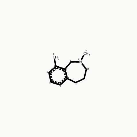 Cc1cccc2c1CN(C)CCC2